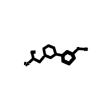 CCOc1cccc(C2CCCN(CC(O)C(F)(F)F)C2)c1